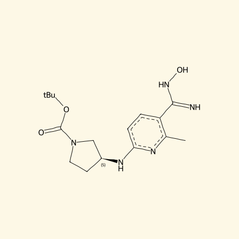 Cc1nc(N[C@H]2CCN(C(=O)OC(C)(C)C)C2)ccc1C(=N)NO